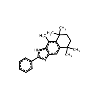 Cc1c2c(cc3nc(-c4ccccc4)[nH]c13)C(C)(C)CCC2(C)C